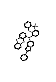 CC1(C)c2ccccc2Oc2c(N(c3ccc4sc(-c5ccccc5)cc4c3)c3cccc4c3Oc3ccccc3S4)cccc21